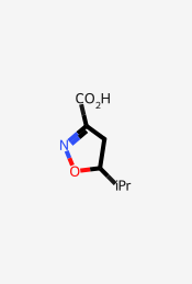 CC(C)C1CC(C(=O)O)=NO1